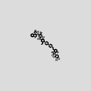 CCc1cc(Nc2ncc(Br)c(Nc3cnc4ccccc4c3P(C)(C)=O)n2)c(OC)cc1N1CCC(N2CCN(CCc3ccc(F)c4c3n(C)c(=O)n4C3CCC(=O)NC3=O)CC2)CC1